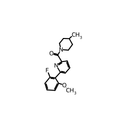 COc1cccc(F)c1-c1cccc(C(=O)N2CCC(C)CC2)n1